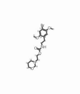 COc1cc(CCNC(=O)OCCN2CCCOC2)c(OC)cc1Br